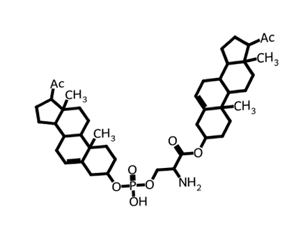 CC(=O)C1CCC2C3CC=C4CC(OC(=O)C(N)COP(=O)(O)OC5CCC6(C)C(=CCC7C6CCC6(C)C(C(C)=O)CCC76)C5)CCC4(C)C3CCC12C